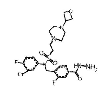 NNC(=O)c1ccc(CN(c2ccc(F)c(Cl)c2)S(=O)(=O)CCN2CCN(C3COC3)CC2)c(F)c1